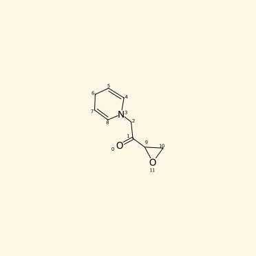 O=C(CN1C=CCC=C1)C1CO1